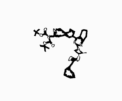 C[C@H]1[C@H](OC(=O)c2ccccc2)CN1c1nc2c(c(-c3ccc4cnc(N(C(=O)OC(C)(C)C)C(=O)OC(C)(C)C)cc4c3)n1)CCC2